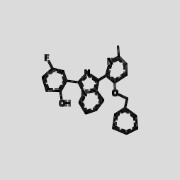 Cc1ccc(OCc2ccccc2)c(-c2nc(-c3cc(F)ccc3O)n3ccccc23)n1